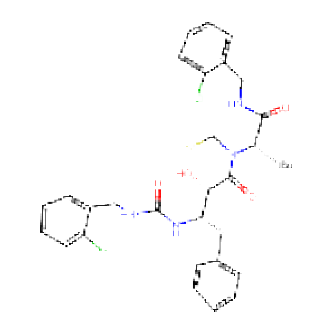 CC(C)(C)[C@@H](C(=O)NCc1ccccc1Cl)N(CS)C(=O)[C@@H](O)[C@H](Cc1ccccc1)NC(=O)NCc1ccccc1Cl